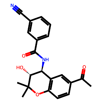 CC(=O)c1ccc2c(c1)[C@H](NC(=O)c1cccc(C#N)c1)[C@@H](O)C(C)(C)O2